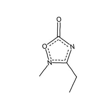 CCc1nc(=O)on1C